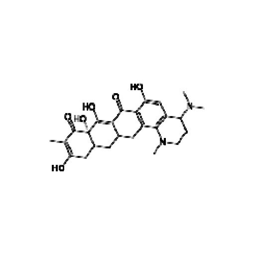 CC1=C(O)CC2CC3Cc4c(c(O)cc5c4N(C)CCC5N(C)C)C(=O)C3=C(O)[C@]2(O)C1=O